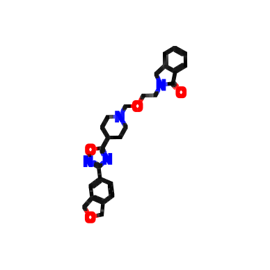 O=C1c2ccccc2CN1CCOCN1CCC(c2nc(-c3ccc4c(c3)COC4)no2)CC1